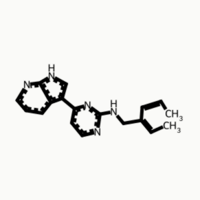 C/C=C\C(=C/C)CNc1nccc(-c2c[nH]c3ncccc23)n1